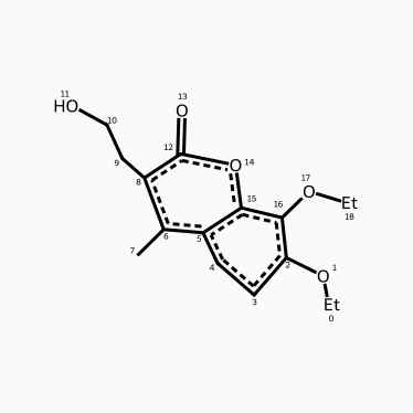 CCOc1ccc2c(C)c(CCO)c(=O)oc2c1OCC